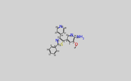 COc1cc(-c2sc(-c3ccccc3)nc2-c2ccncc2)cnc1N